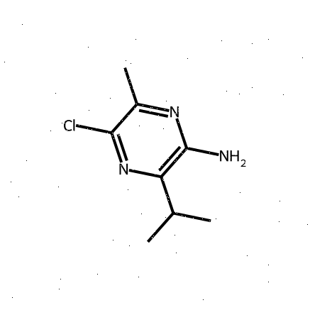 Cc1nc(N)c(C(C)C)nc1Cl